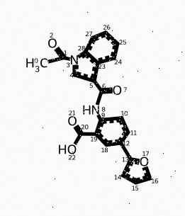 CC(=O)n1cc(C(=O)Nc2ccc(-c3ccco3)cc2C(=O)O)c2ccccc21